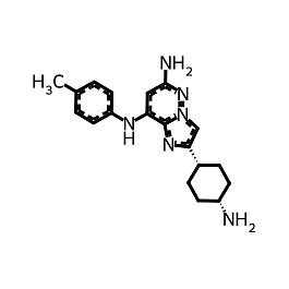 Cc1ccc(Nc2cc(N)nn3cc([C@H]4CC[C@@H](N)CC4)nc23)cc1